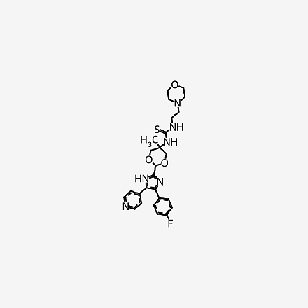 CC1(NC(=S)NCCN2CCOCC2)COC(c2nc(-c3ccc(F)cc3)c(-c3ccncc3)[nH]2)OC1